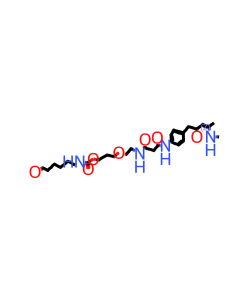 CN/C(C)=C\C(=O)Cc1ccc(NC(=O)CC(=O)NCCOCCCOC(=O)NCCCCCC=O)cc1